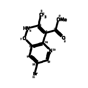 COC(=O)C1=C(C(F)(F)F)NOc2cc(Br)cnc21